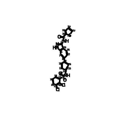 O=C(Nc1n[nH]c2cc(-c3ccc(NS(=O)(=O)c4cccc(Cl)c4Cl)cc3)ccc12)c1[c]ccs1